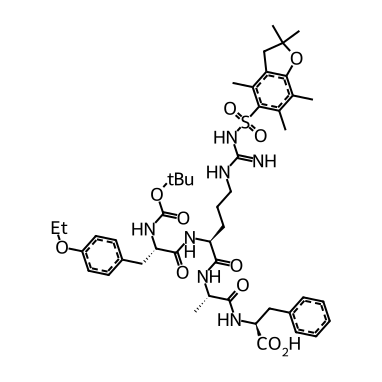 CCOc1ccc(C[C@H](NC(=O)OC(C)(C)C)C(=O)N[C@@H](CCCNC(=N)NS(=O)(=O)c2c(C)c(C)c3c(c2C)CC(C)(C)O3)C(=O)N[C@@H](C)C(=O)N[C@@H](Cc2ccccc2)C(=O)O)cc1